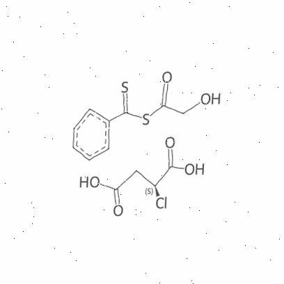 O=C(CO)SC(=S)c1ccccc1.O=C(O)C[C@H](Cl)C(=O)O